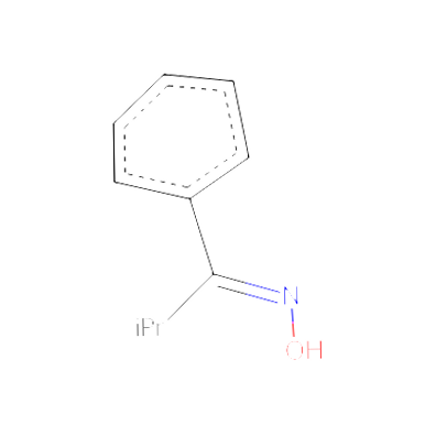 CC(C)C(=NO)c1ccccc1